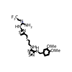 COc1ccc(CNc2nsnc2NCCSCc2csc(N/C(N)=N\CC(F)(F)F)n2)cc1OC